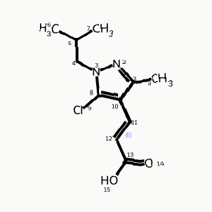 Cc1nn(CC(C)C)c(Cl)c1/C=C/C(=O)O